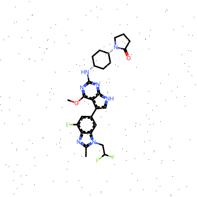 COc1nc(N[C@H]2CC[C@@H](N3CCCC3=O)CC2)nc2[nH]cc(-c3cc(F)c4nc(C)n(CC(F)F)c4c3)c12